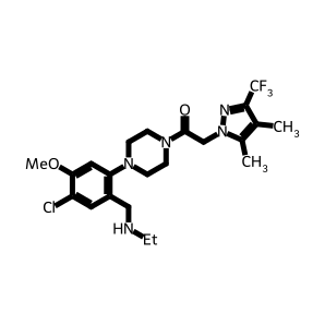 CCNCc1cc(Cl)c(OC)cc1N1CCN(C(=O)Cn2nc(C(F)(F)F)c(C)c2C)CC1